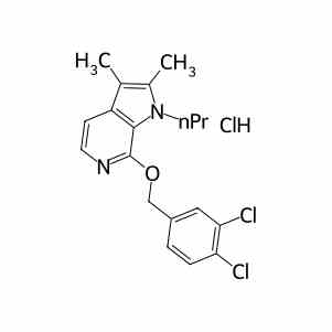 CCCn1c(C)c(C)c2ccnc(OCc3ccc(Cl)c(Cl)c3)c21.Cl